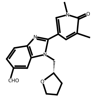 Cc1cc(-c2nc3ccc(C=O)cc3n2C[C@@H]2CCCO2)cn(C)c1=O